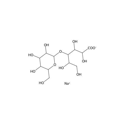 O=C([O-])C(O)C(O)C(OC1OC(CO)C(O)C(O)C1O)C(O)CO.[Na+]